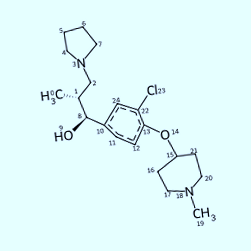 C[C@H](CN1CCCC1)[C@H](O)c1ccc(OC2CCN(C)CC2)c(Cl)c1